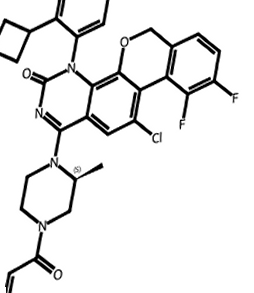 C=CC(=O)N1CCN(c2nc(=O)n(-c3ccccc3C3CCC3)c3c4c(c(Cl)cc23)-c2c(ccc(F)c2F)CO4)[C@@H](C)C1